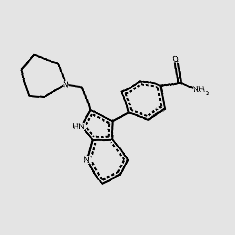 NC(=O)c1ccc(-c2c(CN3CCCCC3)[nH]c3ncccc23)cc1